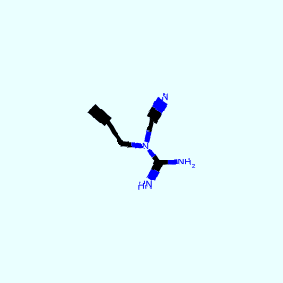 C#CCN(C#N)C(=N)N